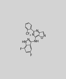 Fc1cc(F)c2[nH]nc(Nc3nc(-c4ccccc4C(F)(F)F)nc4cnoc34)c2c1